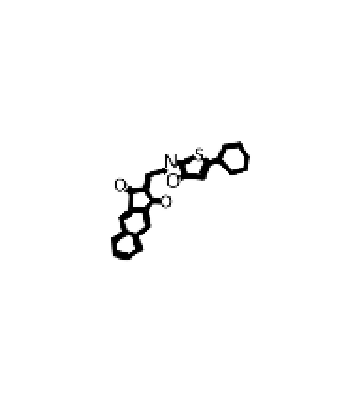 O=C1C(=Cc2nc3sc(C4CCCCC4)cc3o2)C(=O)c2cc3ccccc3cc21